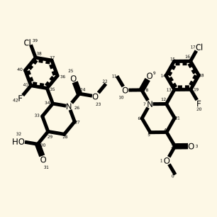 COC(=O)C1CCN(C(=O)OC)C(c2ccc(Cl)cc2F)C1.COC(=O)N1CCC(C(=O)O)CC1c1ccc(Cl)cc1F